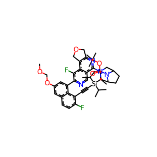 COCOc1cc(-c2ncc3c(N4CC5CCC(C4)N5C(=O)OC(C)(C)C)nc4c(c3c2F)COC4)c2c(C#C[Si](C(C)C)(C(C)C)C(C)C)c(F)ccc2c1